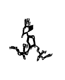 CCCCOP(=O)(O)OC[C@H]1OC(n2ccc(N)nc2=O)C[C@@H]1OP(=O)(O)OCCCC